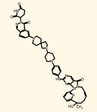 C[C@@]1(O)CC/C=C\Cn2c(=O)c3cnc(Nc4ccc(N5CCC(N6CCC7(CCN(c8ccc9cnn(C%10CCC(=O)NC%10=O)c(=O)c9c8)CC7)C6)CC5)cc4)nc3n2-c2cccc1n2